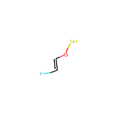 FC=COS